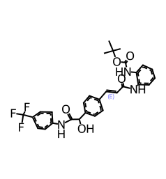 CC(C)(C)OC(=O)Nc1ccccc1NC(=O)/C=C/c1ccc(C(O)C(=O)Nc2ccc(C(F)(F)F)cc2)cc1